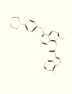 Cc1ccc2c(Nc3ccc(N4CCOCC4)cc3)nccc2c1NC(=O)c1csc2c(N)ncnc12